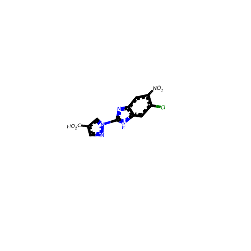 O=C(O)c1cnn(-c2nc3cc([N+](=O)[O-])c(Cl)cc3[nH]2)c1